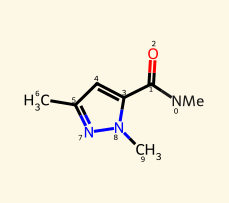 CNC(=O)c1cc(C)nn1C